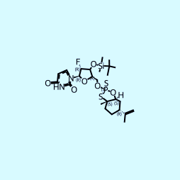 C=C(C)[C@@H]1CC[C@]2(C)S[P@@](=S)(OC[C@H]3O[C@@H](n4ccc(=O)[nH]c4=O)[C@H](F)C3O[Si](C)(C)C(C)(C)C)O[C@H]2C1